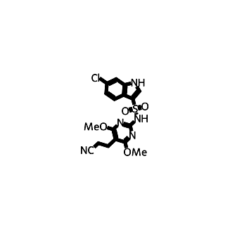 COc1nc(NS(=O)(=O)c2c[nH]c3cc(Cl)ccc23)nc(OC)c1CCC#N